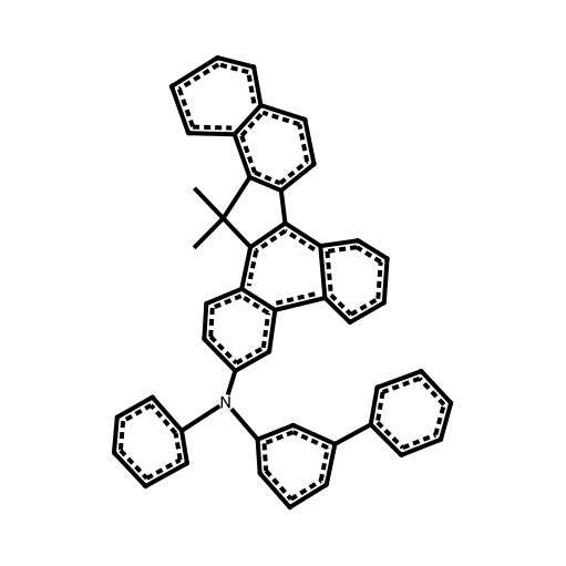 CC1(C)c2c(ccc3ccccc23)-c2c1c1ccc(N(c3ccccc3)c3cccc(-c4ccccc4)c3)cc1c1ccccc21